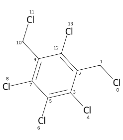 ClCc1c(Cl)c(Cl)c(Cl)c(CCl)c1Cl